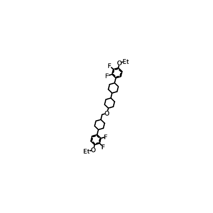 CCOc1ccc(C2CCC(COC3CCC(C4CCC(c5ccc(OCC)c(F)c5F)CC4)CC3)CC2)c(F)c1F